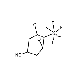 N#CC1CC2OC1C(Cl)C2S(F)(F)(F)(F)F